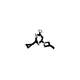 CC1CN(c2cc(Cl)nc(C3CC3)n2)C1